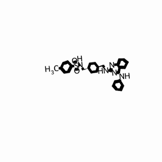 Cc1ccc(S(=O)(=O)NC[C@H]2CC[C@H](CNc3nc(Nc4ccccc4)c4ccccc4n3)CC2)cc1